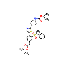 CC(C)OC(=O)Cc1ccc(-c2cnc([C@H]3CC[C@H](NC(=O)OC(C)C)CC3)s2)c(S(=O)(=O)C(C)c2ccccc2)c1